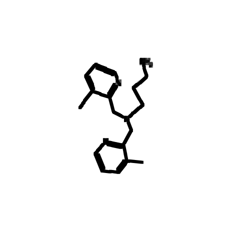 Cc1cccnc1CN(CCCN)Cc1ncccc1C